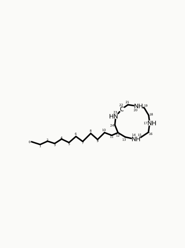 CCCCCCCCCCCCC1CNCCNCCNCCNC1